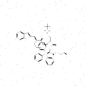 C=CCOC(=O)C(N1C(=O)[C@H]([C@@H](C)O[Si](C)(C)C(C)(C)C)[C@H]1[C@H]1CCC/C(=C\c2cc3ccccc3s2)C1=O)=P(c1ccccc1)(c1ccccc1)c1ccccc1